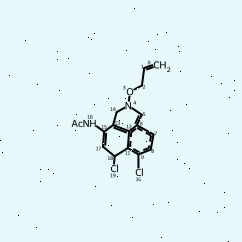 C=CCON1C=c2ccc(Cl)c3c2=C(C1)C(NC(C)=O)=CC3Cl